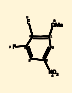 COc1cc([N+](=O)[O-])cc(F)c1F